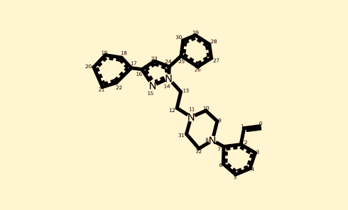 C=Cc1ccccc1N1CCN(CCn2nc(-c3ccccc3)cc2-c2ccccc2)CC1